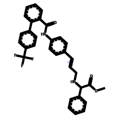 COC(=O)C(NC/C=C/c1ccc(NC(=O)c2ccccc2-c2ccc(C(F)(F)F)cc2)cc1)c1ccccc1